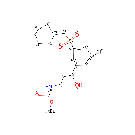 [2H]c1cc(C(O)CCNC(=O)OC(C)(C)C)cc(S(=O)(=O)CC2CCCCC2)c1